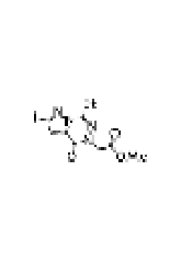 CCc1nn(CC(=O)OC)c(=O)c2cc(I)nn12